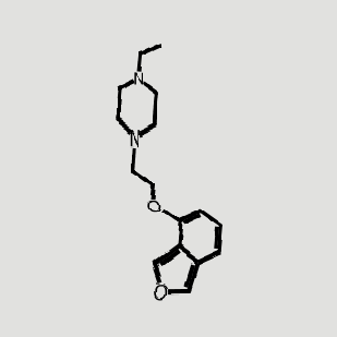 CCN1CCN(CCOc2cccc3cocc23)CC1